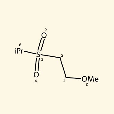 COCCS(=O)(=O)C(C)C